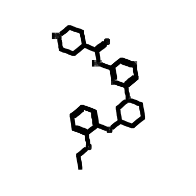 CCOc1ccccc1OC1CCCN(c2cncc(NC(=O)C3CCNCC3)n2)C1